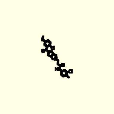 CSc1ccc(Cl)c(C(=O)N2CC3CN(CCC(=O)Nc4ccc(C)c(Cl)c4)CC3C2)c1